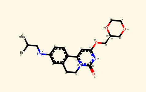 CCCCC(CC)CNc1ccc2c(c1)CCn1c-2cc(OC[C@@H]2COCCO2)nc1=O